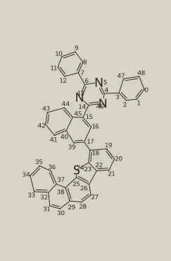 c1ccc(-c2nc(-c3ccccc3)nc(-c3cc(-c4cccc5c4sc4c5ccc5ccc6ccccc6c54)cc4ccccc34)n2)cc1